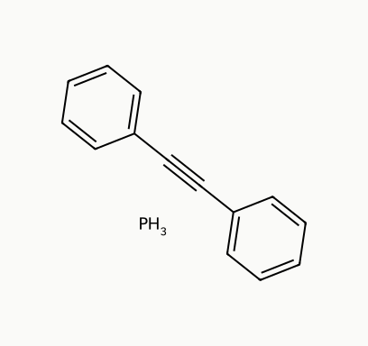 C(#Cc1ccccc1)c1ccccc1.P